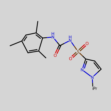 Cc1cc(C)c(NC(=O)NS(=O)(=O)c2ccn(C(C)C)n2)c(C)c1